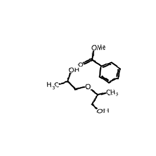 CC(O)COC(C)CO.COC(=O)c1ccccc1